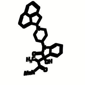 CNC(=O)C(C)C1(O)C(=O)N(C2CCN(C3Cc4cccc5cccc3c45)CC2)c2ccccc21